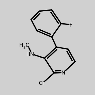 CNc1c(-c2ccccc2F)ccnc1Cl